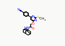 CSc1nc(OCC(=O)NC23CC4CC(CC(C4)C2)C3)cc(-c2ccc(C#N)cc2)n1